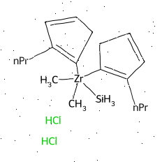 CCCC1=[C]([Zr]([CH3])([CH3])([SiH3])[C]2=C(CCC)C=CC2)CC=C1.Cl.Cl